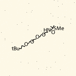 CSC(C)(C)C(=O)NCCOCCOCCOCCOCCCC(C)(C)C